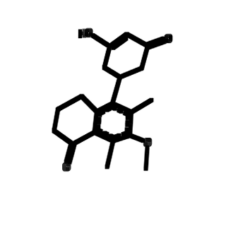 COc1c(C)c2c(c(C3CC(=O)C=C(O)C3)c1C)CCCC2=O